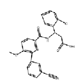 COc1ccc(C(=O)NC(CC(=O)O)c2ccccc2Cl)nc1-c1cccc(C#N)c1